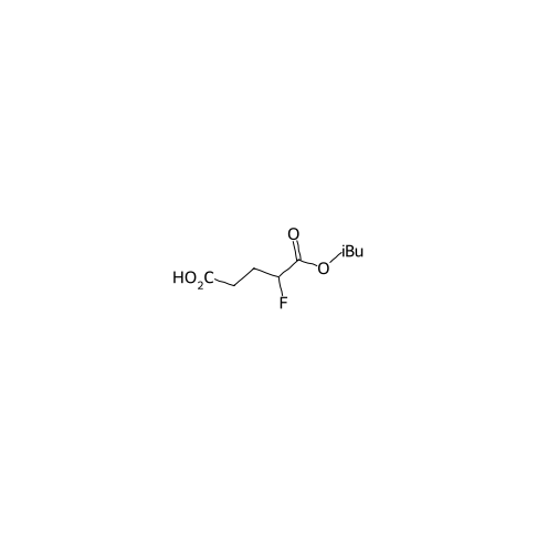 CCC(C)OC(=O)C(F)CCC(=O)O